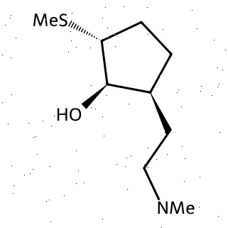 CNCC[C@@H]1CC[C@@H](SC)[C@@H]1O